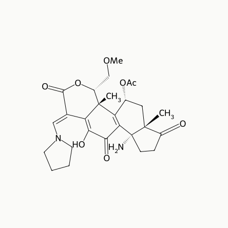 COC[C@H]1OC(=O)/C(=C/N2CCCC2)C2=C(O)C(=O)C3=C([C@H](OC(C)=O)C[C@]4(C)C(=O)CC[C@@]34N)[C@]21C